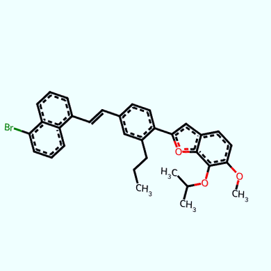 CCCc1cc(C=Cc2cccc3c(Br)cccc23)ccc1-c1cc2ccc(OC)c(OC(C)C)c2o1